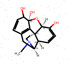 CN1CC[C@]23C4=C5C=CC(O)[C@@]4(O)O[C@H]2C(O)=C=C[C@H]3[C@H]1C5